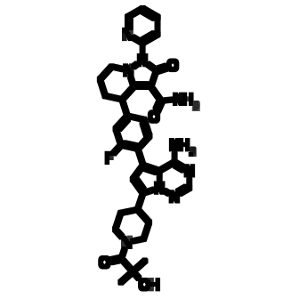 CC(C)(O)C(=O)N1CCC(c2cc(-c3ccc(C4CCCn5c4c(C(N)=O)c(=O)n5-c4ccccn4)cc3F)c3c(N)ncnn23)CC1